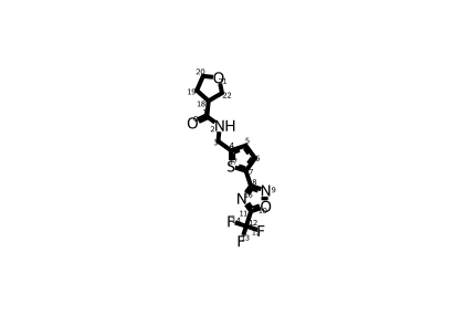 O=C(NCc1ccc(-c2noc(C(F)(F)F)n2)s1)C1CCOC1